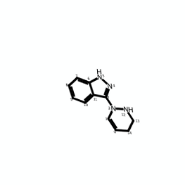 C1=CN(c2n[nH]c3ccccc23)NCC1